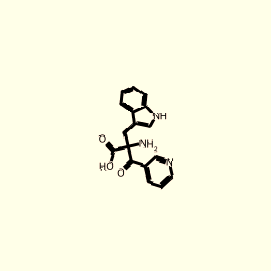 NC(Cc1c[nH]c2ccccc12)(C(=O)O)C(=O)c1cccnc1